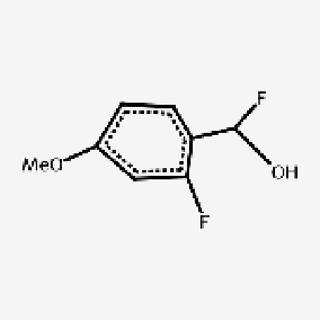 COc1ccc(C(O)F)c(F)c1